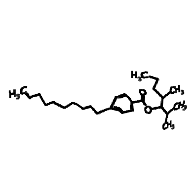 CCCCCCCCCCc1ccc(C(=O)OC(C(C)C)C(C)CCC)cc1